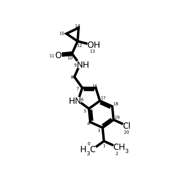 CC(C)c1cc2[nH]c(CNC(=O)C3(O)CC3)cc2cc1Cl